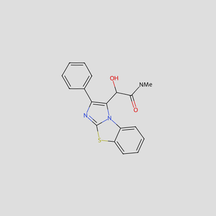 CNC(=O)C(O)c1c(-c2ccccc2)nc2sc3ccccc3n12